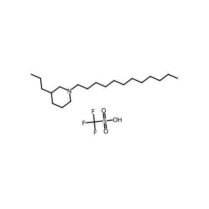 CCCCCCCCCCCCN1CCCC(CCC)C1.O=S(=O)(O)C(F)(F)F